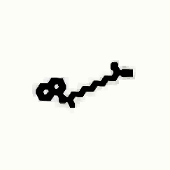 CC(CCCCCCCCC(=O)O)Oc1cccc2ccccc12